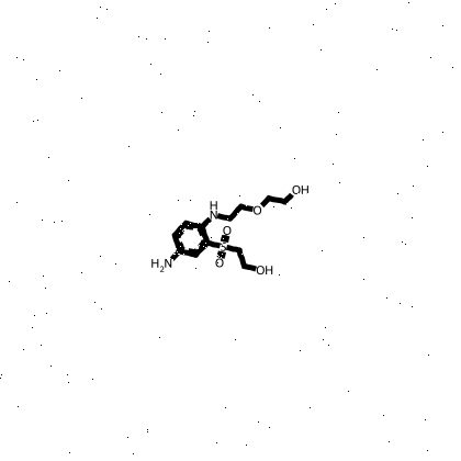 Nc1ccc(NCCOCCO)c(S(=O)(=O)CCO)c1